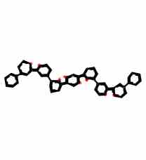 c1ccc(-c2ccc3oc4ccc(-c5cccc6c5oc5cc7c(cc56)oc5c(-c6ccc8oc9ccc(-c%10ccccc%10)cc9c8c6)cccc57)cc4c3c2)cc1